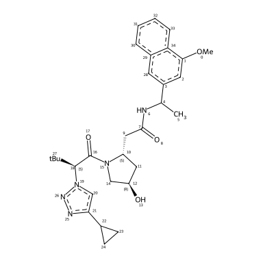 COc1cc(C(C)NC(=O)C[C@@H]2C[C@@H](O)CN2C(=O)[C@@H](n2cc(C3CC3)nn2)C(C)(C)C)cc2ccccc12